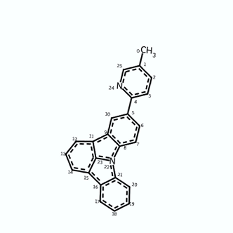 Cc1ccc(-c2ccc3c(c2)c2cccc4c5ccccc5n3c42)nc1